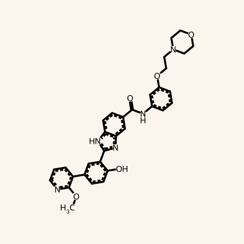 COc1ncccc1-c1ccc(O)c(-c2nc3cc(C(=O)Nc4cccc(OCCN5CCOCC5)c4)ccc3[nH]2)c1